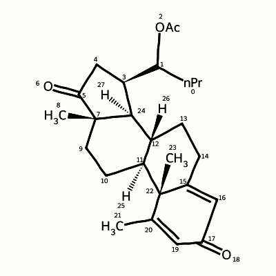 CCCC(OC(C)=O)[C@@H]1CC(=O)[C@@]2(C)CC[C@H]3[C@@H](CCC4=CC(=O)C=C(C)[C@@]43C)[C@H]12